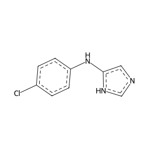 Clc1ccc(Nc2cnc[nH]2)cc1